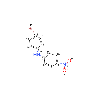 O=[N+]([O-])c1ccc(Nc2ccc(Br)cc2)cc1